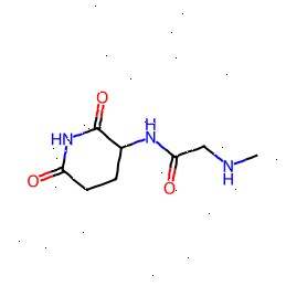 CNCC(=O)NC1CCC(=O)NC1=O